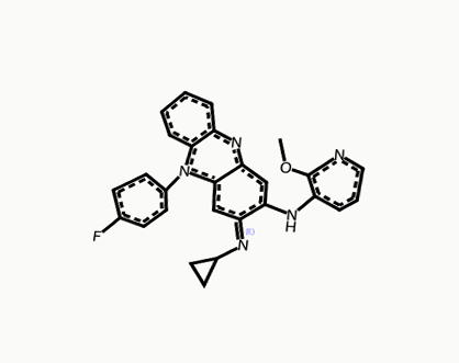 COc1ncccc1Nc1cc2nc3ccccc3n(-c3ccc(F)cc3)c-2c/c1=N\C1CC1